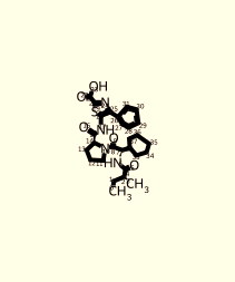 CC[C@@H](C)C(=O)N[C@H](C(=O)N1CCC[C@H]1C(=O)Nc1sc(C(=O)O)nc1-c1ccccc1)C1CCCCC1